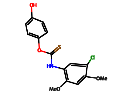 COc1cc(OC)c(NC(=S)Oc2ccc(O)cc2)cc1Cl